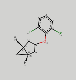 Fc1cccc(Br)c1OC1C[C@@H]2C[C@@H]2C1